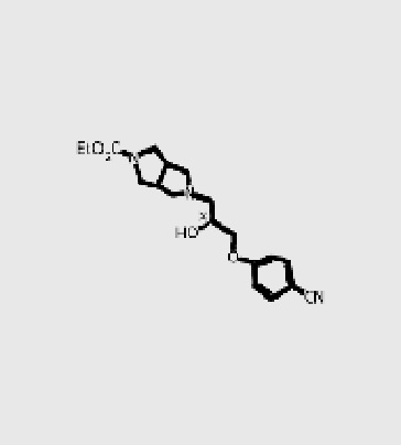 CCOC(=O)N1CC2CN(C[C@H](O)COc3ccc(C#N)cc3)CC2C1